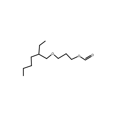 CCCCC(CC)COCCCOC=O